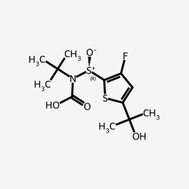 CC(C)(O)c1cc(F)c([S@+]([O-])N(C(=O)O)C(C)(C)C)s1